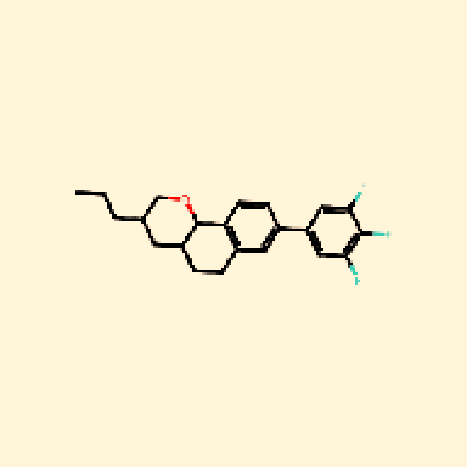 CCCC1COC2c3ccc(-c4cc(F)c(F)c(F)c4)cc3CCC2C1